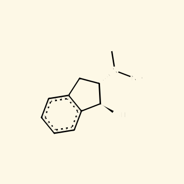 CN(N=O)[C@H]1Cc2ccccc2[C@@H]1O